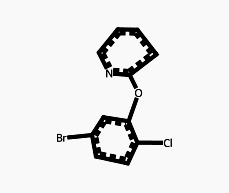 Clc1ccc(Br)cc1Oc1ccccn1